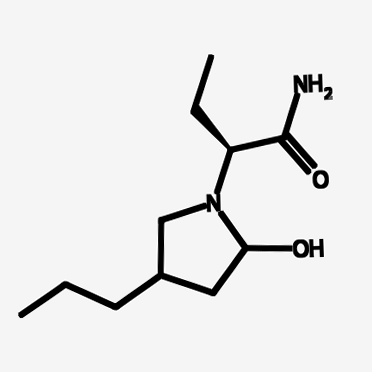 CCCC1CC(O)N([C@@H](CC)C(N)=O)C1